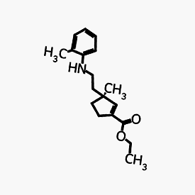 CCOC(=O)C1=C[C@](C)(CCNc2ccccc2C)CC1